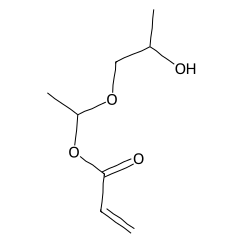 C=CC(=O)OC(C)OCC(C)O